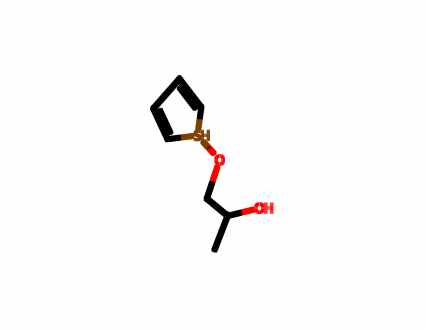 C[C](O)CO[SH]1C=CC=C1